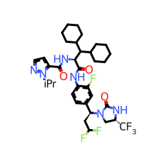 CC(C)n1nccc1C(=O)N[C@H](C(=O)Nc1ccc([C@H](CC(F)F)N2C[C@@H](C(F)(F)F)NC2=O)cc1F)C(C1CCCCC1)C1CCCCC1